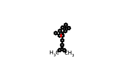 Cc1ccc2c(c1)c1cc(C)ccc1n2-c1ccc(-c2ccc(-c3ccc(N(c4ccc5c(c4)C(c4ccccc4)(c4ccccc4)c4ccccc4-5)c4ccccc4-c4ccccc4-c4ccccc4)cc3)cc2)cc1